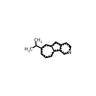 CC(C)c1cccc2c3cnccc3cc-2c1